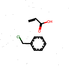 C=CC(=O)O.ClCc1ccccc1